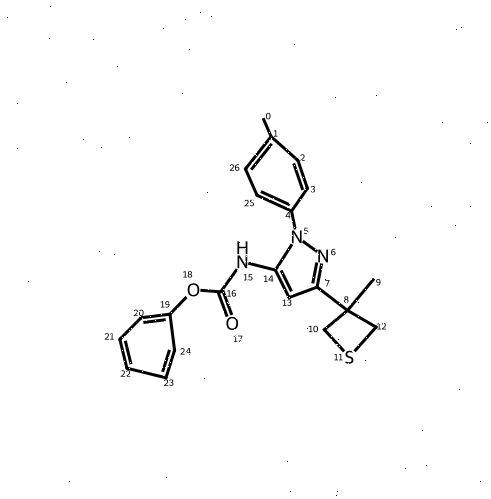 Cc1ccc(-n2nc(C3(C)CSC3)cc2NC(=O)Oc2ccccc2)cc1